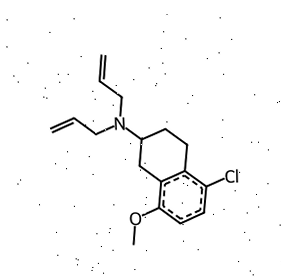 C=CCN(CC=C)C1CCc2c(Cl)ccc(OC)c2C1